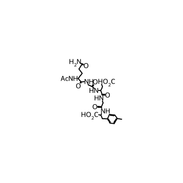 CC(=O)NC(CCC(N)=O)C(=O)NCC(=O)NC(CC(=O)O)C(=O)NCC(=O)NC(Cc1ccc(C)cc1)C(=O)O